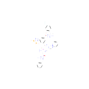 C[C@H](NC[C@H](CC1C=CC=CC1)NC(=O)c1cc(C(=O)N[C@H](C)c2ccc(F)cc2)cc(N(C)S(C)(=O)=O)c1)C(=O)NCc1ccccc1